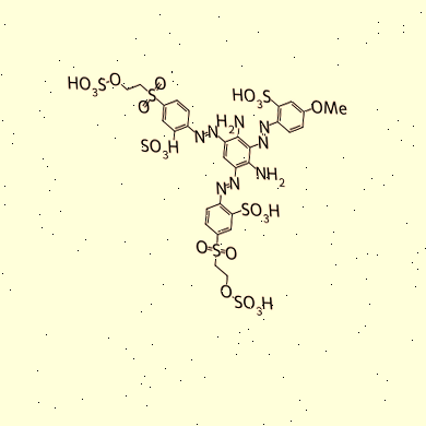 COc1ccc(/N=N/c2c(N)c(/N=N/c3ccc(S(=O)(=O)CCOS(=O)(=O)O)cc3S(=O)(=O)O)cc(/N=N/c3ccc(S(=O)(=O)CCOS(=O)(=O)O)cc3S(=O)(=O)O)c2N)c(S(=O)(=O)O)c1